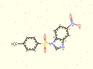 Cc1ccc(S(=O)(=O)n2cnc3cc([N+](=O)[O-])ccc32)cc1